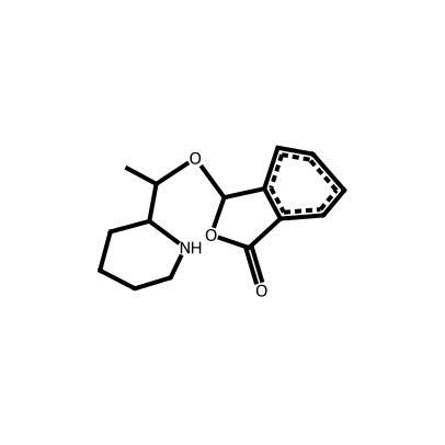 CC(OC1OC(=O)c2ccccc21)C1CCCCN1